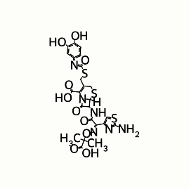 CC(C)(O/N=C(\C(=O)N[C@@H]1C(=O)N2C(C(=O)O)=C(CSc3nc4cc(O)c(O)cc4o3)CS[C@H]12)c1csc(N)n1)C(=O)O